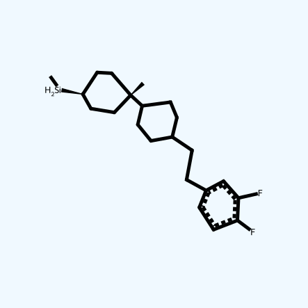 C[SiH2][C@H]1CC[C@](C)(C2CCC(CCc3ccc(F)c(F)c3)CC2)CC1